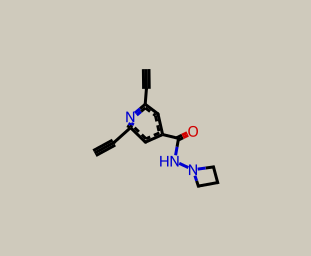 C#Cc1cc(C(=O)NN2CCC2)cc(C#C)n1